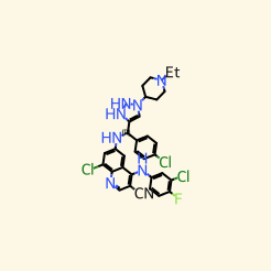 CCN1CCC(N2C=C([C@H](Nc3cc(Cl)c4ncc(C#N)c(Nc5ccc(F)c(Cl)c5)c4c3)c3ccc(Cl)cc3)NN2)CC1